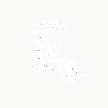 C=CC(=O)OCC(C)(COC(=O)CCN(C)CCC[Si](OC)(OC)OC)NC(=O)OC1CC(C)(C)N(OCCCCCCCC)C(C)(C)C1